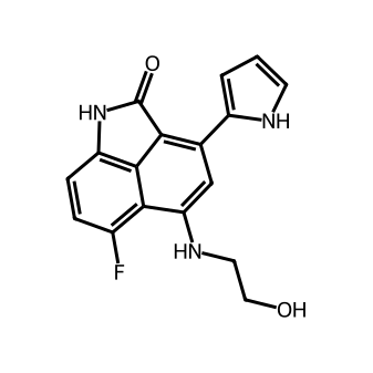 O=C1Nc2ccc(F)c3c(NCCO)cc(-c4ccc[nH]4)c1c23